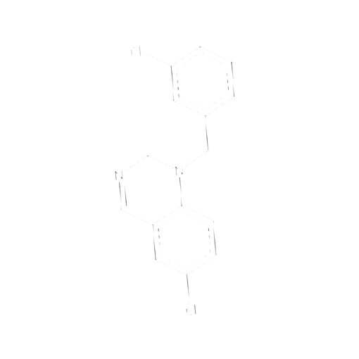 Clc1cccc(CN2CN=Cc3cc(Cl)ccc32)c1